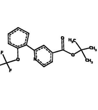 CC(C)(C)OC(=O)c1ccnc(-c2ccccc2OC(F)(F)F)c1